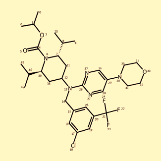 CC(C)OC(=O)N1[C@H](C(C)C)CC(N(Cc2cc(Cl)cc(C(F)(F)F)c2)c2ncc(N3CCOCC3)cn2)C[C@H]1C(C)C